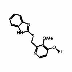 CCOc1ccnc(CSc2nc3ccccc3[nH]2)c1OC